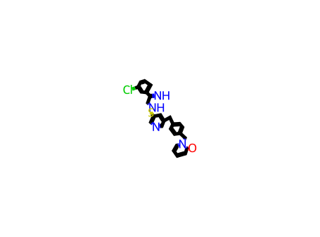 N=C(CNSc1cncc(Cc2ccc(Cn3ccccc3=O)cc2)c1)c1cccc(Cl)c1